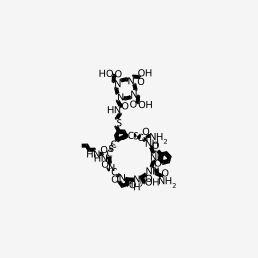 CCCCNC(=O)N[C@H]1CSCc2cc(CSCCNC(=O)CN3CCN(CC(=O)O)CCN(CC(=O)O)CCN(CC(=O)O)CC3)cc(c2)CSC[C@@H](C(N)=O)NC(=O)[C@H](Cc2ccccc2)NC(=O)[C@H](CCC(N)=O)NC(=O)[C@H]([C@@H](C)O)NC(=O)[C@@H]2CCCN2C(=O)CN(C)C1=O